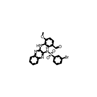 COc1ccc(C=O)cc1Nc1nc2ccccc2nc1NS(=O)(=O)c1cccc(Br)c1